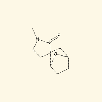 CN1CCC2(CC3CCC2O3)C1=O